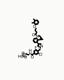 Cc1cccc(OCCCC(=O)N2CC3CC3c3c(-c4cnn(Cc5c(F)cc(C(=O)NCCS(=O)(=O)O)cc5Cl)c4)cccc32)c1C